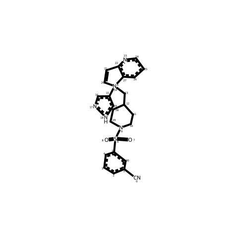 N#Cc1cccc(S(=O)(=O)N2CCC(C[N+]3(c4cn[nH]c4)C=Cc4ncccc43)CC2)c1